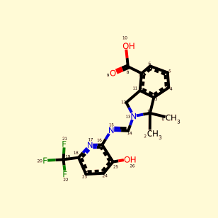 CC1(C)c2cccc(C(=O)O)c2CN1C=Nc1nc(C(F)(F)F)ccc1O